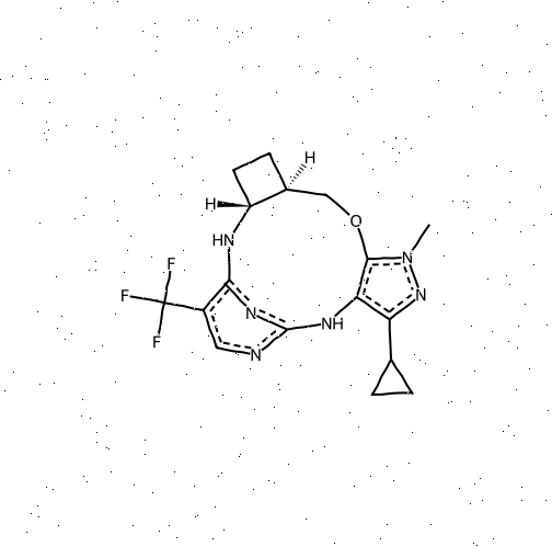 Cn1nc(C2CC2)c2c1OC[C@@H]1CC[C@H]1Nc1nc(ncc1C(F)(F)F)N2